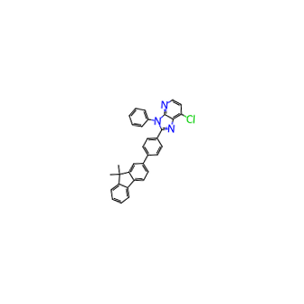 CC1(C)c2ccccc2-c2ccc(-c3ccc(-c4nc5c(Cl)ccnc5n4-c4ccccc4)cc3)cc21